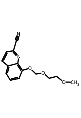 COCCOCOc1cccc2ccc(C#N)nc12